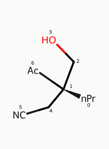 CCC[C@@](CO)(CC#N)C(C)=O